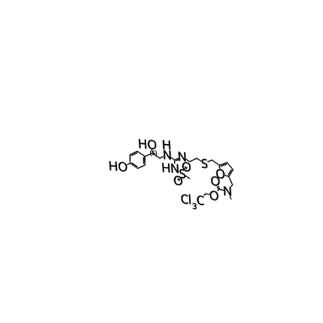 CN(Cc1ccc(CSCCN=C(NC[C@@H](O)c2ccc(O)cc2)NS(C)(=O)=O)o1)C(=O)OCC(Cl)(Cl)Cl